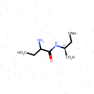 COC[C@H](NC(=O)C(N)CC(=O)O)C(=O)O